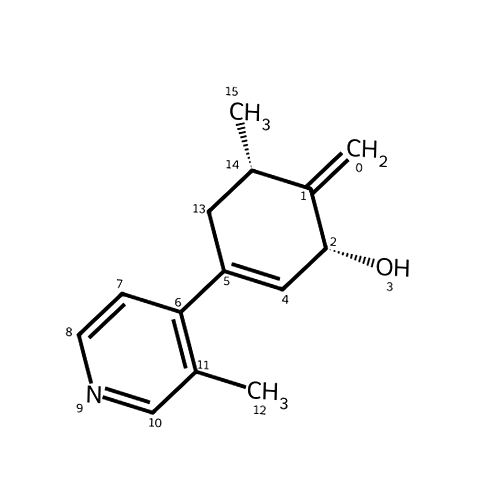 C=C1[C@H](O)C=C(c2ccncc2C)C[C@@H]1C